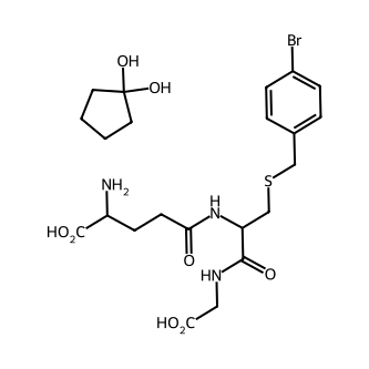 NC(CCC(=O)NC(CSCc1ccc(Br)cc1)C(=O)NCC(=O)O)C(=O)O.OC1(O)CCCC1